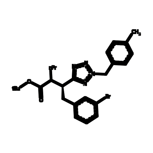 CCCC(C(=O)OC(C)(C)C)[C@H](Cc1cccc(Br)c1)c1nnn(Cc2ccc(C)cc2)n1